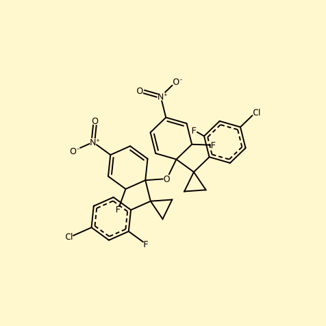 O=[N+]([O-])C1=CC(F)C(OC2(C3(c4ccc(Cl)cc4F)CC3)C=CC([N+](=O)[O-])=CC2F)(C2(c3ccc(Cl)cc3F)CC2)C=C1